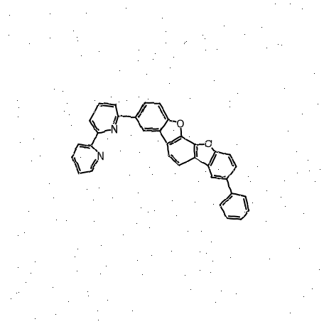 c1ccc(-c2ccc3oc4c(ccc5c6cc(-c7cccc(-c8ccccn8)n7)ccc6oc54)c3c2)cc1